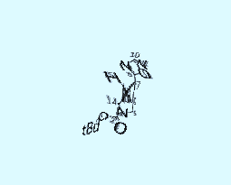 CC(C)(C)OC(=O)N1CC2C(c3ncno3)[C@H]2C1